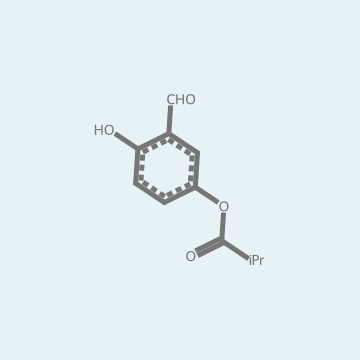 CC(C)C(=O)Oc1ccc(O)c(C=O)c1